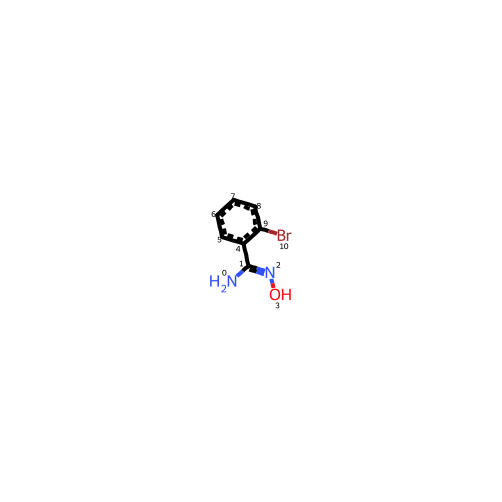 NC(=NO)c1ccccc1Br